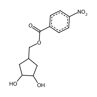 O=C(OCC1CC(O)C(O)C1)c1ccc([N+](=O)[O-])cc1